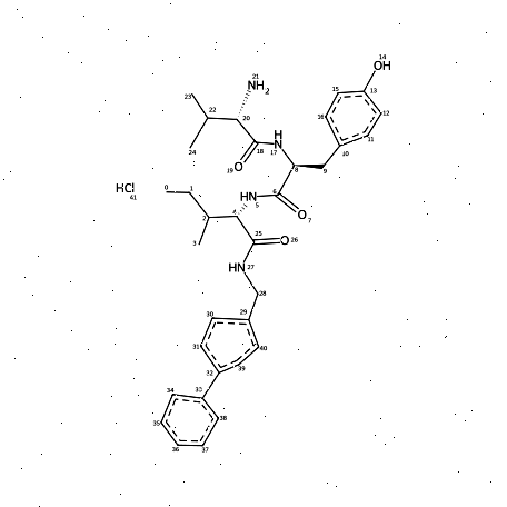 CCC(C)[C@H](NC(=O)[C@H](Cc1ccc(O)cc1)NC(=O)[C@@H](N)C(C)C)C(=O)NCc1ccc(-c2ccccc2)cc1.Cl